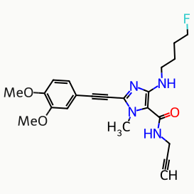 C#CCNC(=O)c1c(NCCCCF)nc(C#Cc2ccc(OC)c(OC)c2)n1C